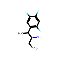 CC(c1cc(F)c(F)cc1F)[C@@H](N)CC(=O)O